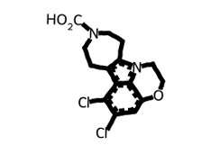 O=C(O)N1CCc2c(n3c4c(cc(Cl)c(Cl)c24)OCC3)CC1